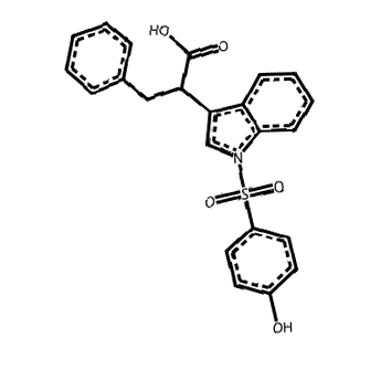 O=C(O)C(Cc1ccccc1)c1cn(S(=O)(=O)c2ccc(O)cc2)c2ccccc12